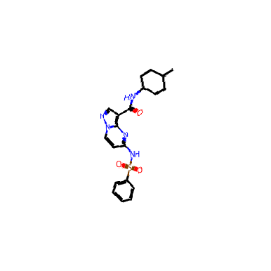 CC1CCC(NC(=O)c2cnn3ccc(NS(=O)(=O)c4ccccc4)nc23)CC1